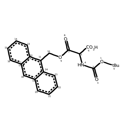 CC(C)(C)OC(=O)NC(C(=O)O)C(=O)OCc1c2ccccc2cc2ccccc12